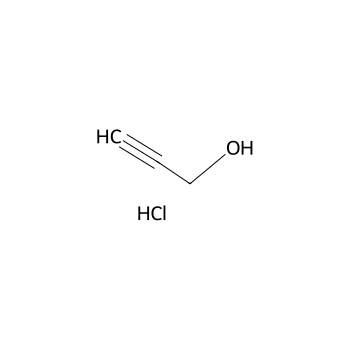 C#CCO.Cl